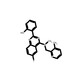 Cc1cccnc1CN(C)c1nc(-c2ccccc2O)nc2ccc(F)cc12